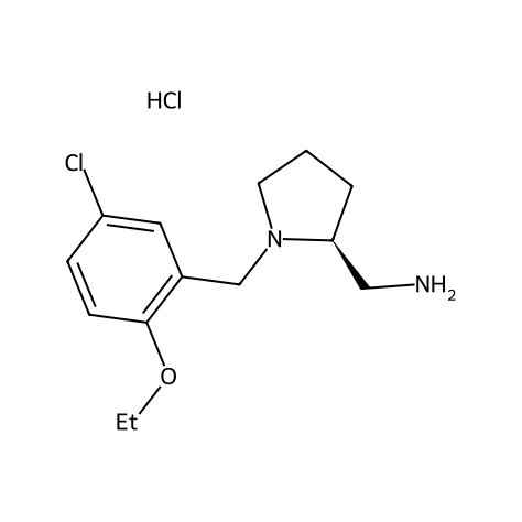 CCOc1ccc(Cl)cc1CN1CCC[C@H]1CN.Cl